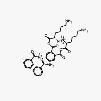 NC(=O)c1ccccc1.NC(=O)c1ccccc1.NCCCC[C@H](N)C(=O)OC(=O)c1ccccc1C(=O)OC(=O)[C@@H](N)CCCCN